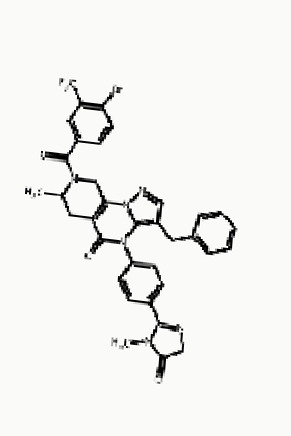 C[C@@H]1Cc2c(n3ncc(Cc4ccccc4)c3n(-c3ccc(C4=NCC(=O)N4C)cc3)c2=O)CN1C(=O)c1ccc(Br)c(C(F)(F)F)c1